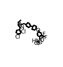 CCn1cc(-c2ccc(Cl)cc2Cl)nc1Cc1ccc(-c2ccc(Oc3ccc(C(=O)NS(C)(=O)=O)c(C(F)(F)F)c3)cc2)cc1